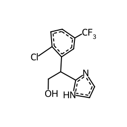 OCC(c1ncc[nH]1)c1cc(C(F)(F)F)ccc1Cl